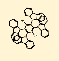 N#Cc1c(N2c3ccccc3C3C=CC=CC32)c(-n2c3c(c4ccccc42)CCC=C3)c(C#N)c(-n2c3ccccc3c3ccccc32)c1-n1c2c(c3ccccc31)CCC=C2